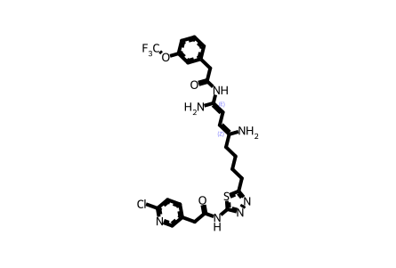 N/C(=C\C=C(/N)NC(=O)Cc1cccc(OC(F)(F)F)c1)CCCCc1nnc(NC(=O)Cc2ccc(Cl)nc2)s1